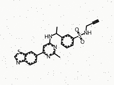 C#CCNS(=O)(=O)c1cccc(C(C)Nc2cc(-c3ccc4ncsc4c3)nc(C)n2)c1